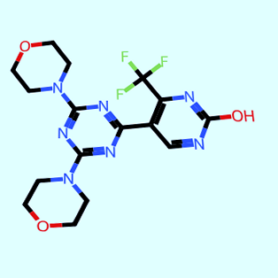 Oc1ncc(-c2nc(N3CCOCC3)nc(N3CCOCC3)n2)c(C(F)(F)F)n1